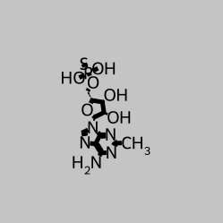 Cc1nc(N)c2ncn([C@@H]3O[C@H](COP(O)(O)=S)[C@@H](O)[C@H]3O)c2n1